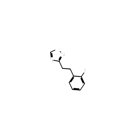 Fc1ccccc1CCc1ncon1